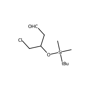 CC(C)(C)[Si](C)(C)OC(CCl)CC=O